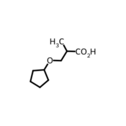 CC(COC1CCCC1)C(=O)O